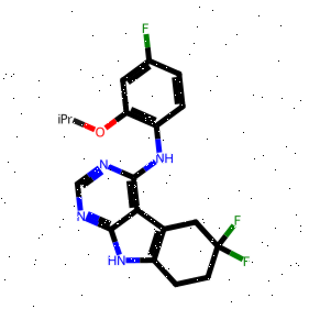 CC(C)Oc1cc(F)ccc1Nc1ncnc2[nH]c3c(c12)CC(F)(F)CC3